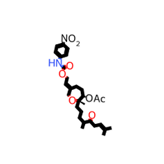 CC(=O)O[C@@H]1CCC(=CCOC(=O)Nc2ccc([N+](=O)[O-])cc2)CO[C@@]1(C)CCCC(C)C(=O)CC=C(C)C